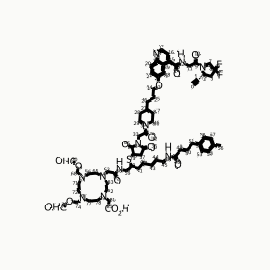 C#C[C@H]1CC(F)(F)CN1C(=O)CNC(=O)c1ccnc2ccc(OCCCC3CCN(C(=O)CN4C(=O)CC(SC(CCCCCNC(=O)CCCc5ccc(C)cc5)CNC(=O)CN5CCN(COC=O)CCN(COC=O)CCN(CC(=O)O)CC5)C4=O)CC3)cc12